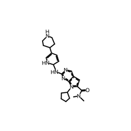 CN(C)C(=O)c1cc2cnc(NC3C=CC(C4CCNCC4)=CN3)nc2n1C1CCCC1